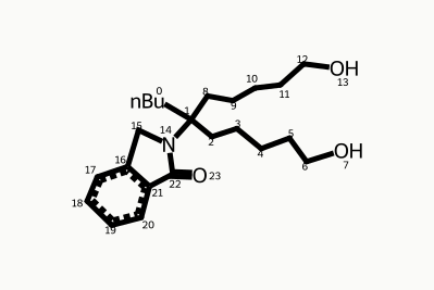 CCCCC(CCCCCO)(CCCCCO)N1Cc2ccccc2C1=O